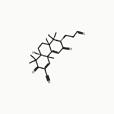 CC1(C)C(=O)C(C#N)=CC2(C)C3=CC(=O)[C@H](CCC=O)C(C)(C)C3(C)CC[C@@H]12